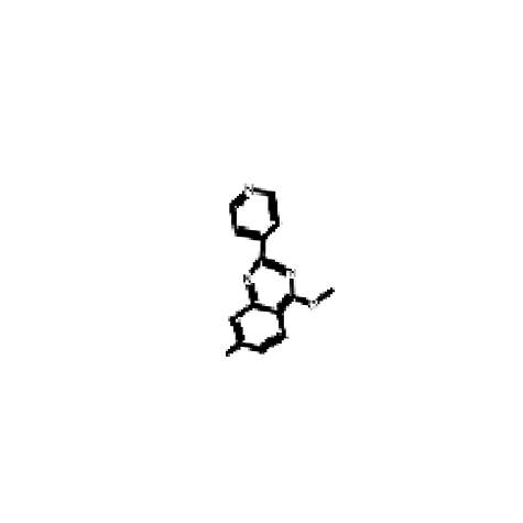 COc1nc(-c2ccncc2)nc2cc(C)ccc12